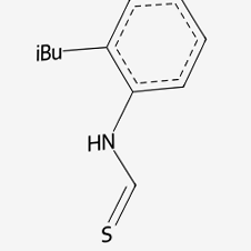 CCC(C)c1ccccc1NC=S